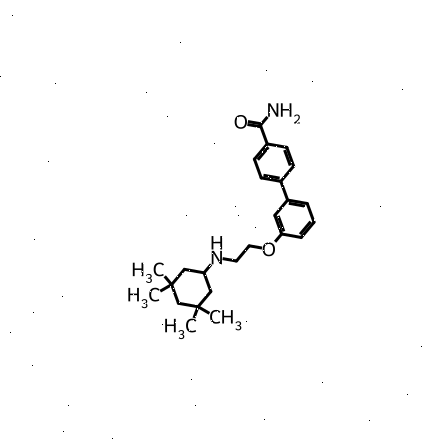 CC1(C)CC(NCCOc2cccc(-c3ccc(C(N)=O)cc3)c2)CC(C)(C)C1